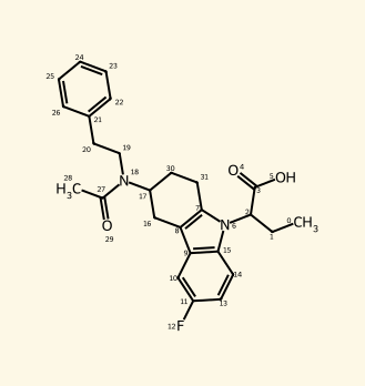 CCC(C(=O)O)n1c2c(c3cc(F)ccc31)CC(N(CCc1ccccc1)C(C)=O)CC2